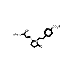 CCCCCC(O)C=C[C@H]1CCC(=O)N1CCc1ccc(C(=O)O)cc1